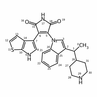 CC(c1cn(C2=C(c3c[nH]c4sccc34)C(=O)NC2=O)c2ccccc12)C1CCNCC1